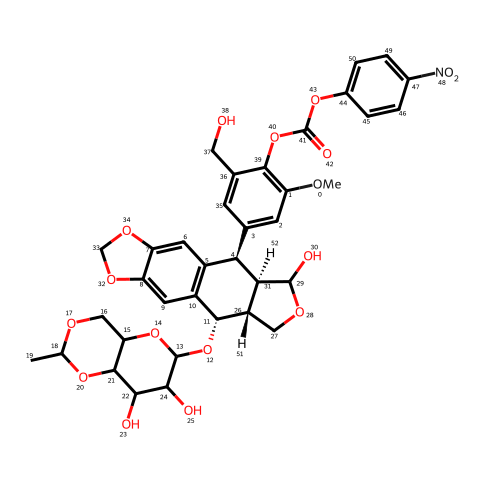 COc1cc([C@@H]2c3cc4c(cc3[C@@H](OC3OC5COC(C)OC5C(O)C3O)[C@H]3COC(O)[C@H]23)OCO4)cc(CO)c1OC(=O)Oc1ccc([N+](=O)[O-])cc1